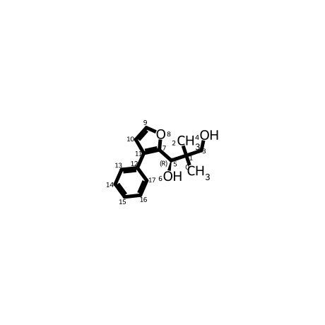 CC(C)(CO)[C@@H](O)c1occc1-c1ccccc1